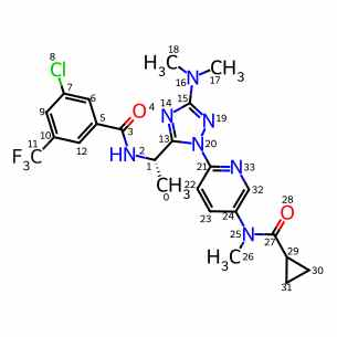 C[C@H](NC(=O)c1cc(Cl)cc(C(F)(F)F)c1)c1nc(N(C)C)nn1-c1ccc(N(C)C(=O)C2CC2)cn1